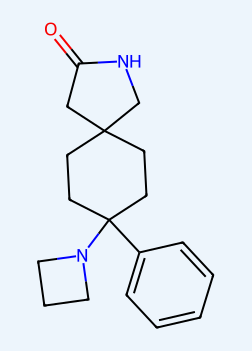 O=C1CC2(CCC(c3ccccc3)(N3CCC3)CC2)CN1